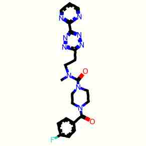 CN(CCc1nnc(-c2ncccn2)nn1)C(=O)N1CCN(C(=O)c2ccc(F)cc2)CC1